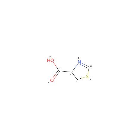 O=C(O)C1CSC=N1